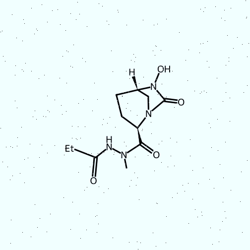 CCC(=O)NN(C)C(=O)[C@H]1CC[C@H]2CN1C(=O)N2O